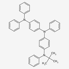 CC(C)(C)N(c1ccccc1)c1ccc(N(c2ccccc2)c2ccc(N(c3ccccc3)c3ccccc3)cc2)cc1